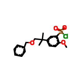 COc1ccc(C(C)(C)COCc2ccccc2)cc1S(=O)(=O)Cl